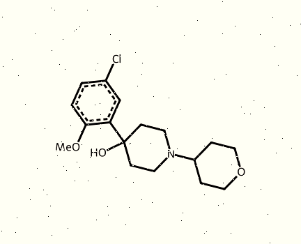 COc1ccc(Cl)cc1C1(O)CCN(C2CCOCC2)CC1